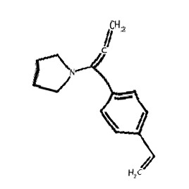 C=C=C(c1ccc(C=C)cc1)N1CCCC1